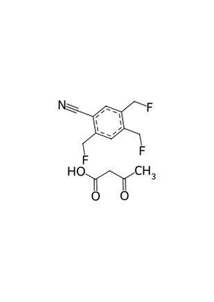 CC(=O)CC(=O)O.N#Cc1cc(CF)c(CF)cc1CF